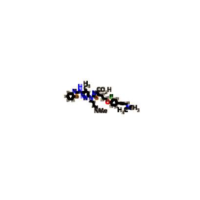 CNCCCCN(c1cc(C)c(Nc2nc3ccccc3s2)nn1)c1nc(C(=O)O)c(CCCOc2ccc(C#CCN(C)C)cc2F)s1